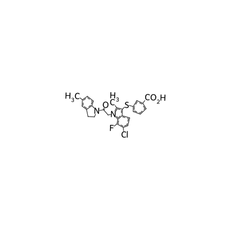 Cc1ccc2c(c1)CCN2C(=O)Cn1c(C)c(Sc2cccc(C(=O)O)c2)c2ccc(Cl)c(F)c21